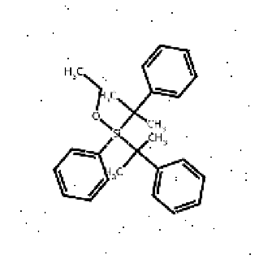 CCO[Si](c1ccccc1)(C(C)(C)c1ccccc1)C(C)(C)c1ccccc1